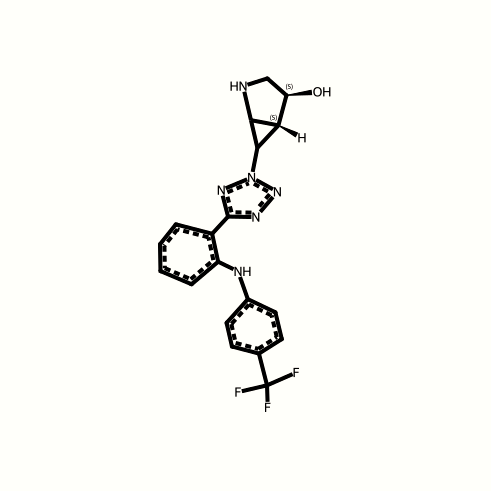 O[C@@H]1CNC2C(n3nnc(-c4ccccc4Nc4ccc(C(F)(F)F)cc4)n3)[C@H]21